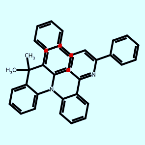 CC1(C)c2ccccc2N(c2ccccc2-c2nc(-c3ccccc3)cc(-c3ccccc3)n2)c2ccccc21